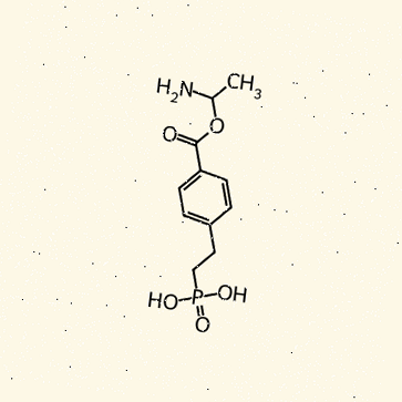 CC(N)OC(=O)c1ccc(CCP(=O)(O)O)cc1